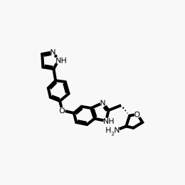 NC1CCO[C@H]1Cc1nc2cc(Oc3ccc(-c4ccn[nH]4)cc3)ccc2[nH]1